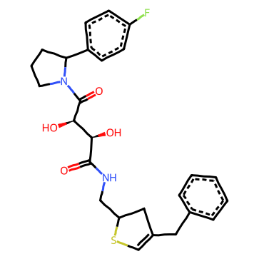 O=C(NCC1CC(Cc2ccccc2)=CS1)[C@H](O)[C@@H](O)C(=O)N1CCCC1c1ccc(F)cc1